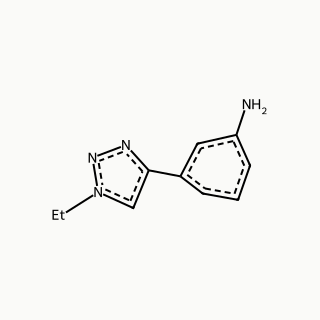 CCn1cc(-c2cccc(N)c2)nn1